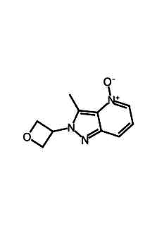 Cc1c2c(ccc[n+]2[O-])nn1C1COC1